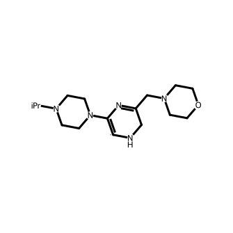 CC(C)N1CCN(C2=[C]NCC(CN3CCOCC3)=N2)CC1